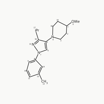 COC1CCN(c2cn(-c3cccc(C)c3)nc2C(C)C)CC1